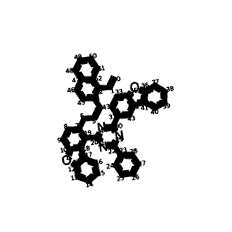 C=Cc1c(/C=C\Cc2ccc3oc4ccccc4c3c2-c2nc(-c3ccccc3)nc(-c3ccc4oc5ccccc5c4c3)n2)ccc2ccccc12